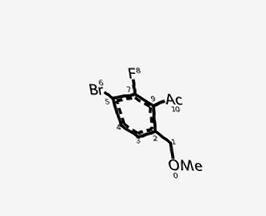 COCc1ccc(Br)c(F)c1C(C)=O